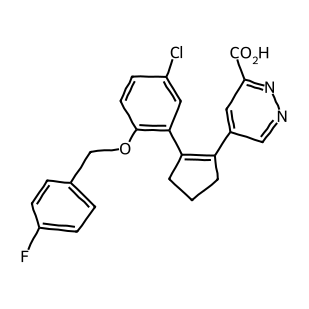 O=C(O)c1cc(C2=C(c3cc(Cl)ccc3OCc3ccc(F)cc3)CCC2)cnn1